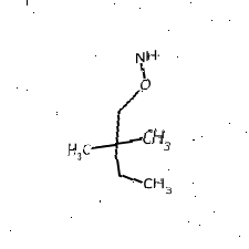 CCC(C)(C)CO[NH]